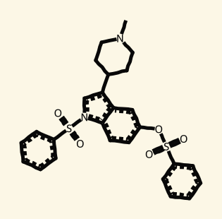 CN1CCC(c2cn(S(=O)(=O)c3ccccc3)c3ccc(OS(=O)(=O)c4ccccc4)cc23)CC1